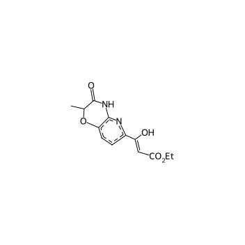 CCOC(=O)C=C(O)c1ccc2c(n1)NC(=O)C(C)O2